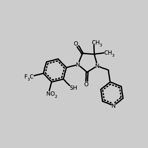 CC1(C)C(=O)N(c2ccc(C(F)(F)F)c([N+](=O)[O-])c2S)C(=O)N1Cc1ccncc1